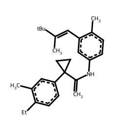 C=C(Nc1ccc(C)c(/C=C(\C)C(C)(C)C)c1)C1(c2ccc(CC)c(C)c2)CC1